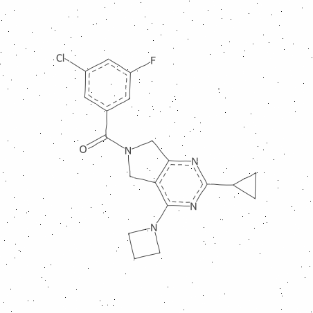 O=C(c1cc(F)cc(Cl)c1)N1Cc2nc(C3CC3)nc(N3CCC3)c2C1